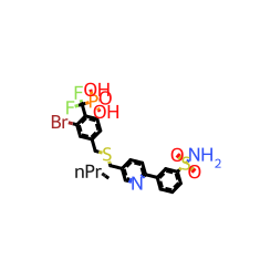 CCCC.NS(=O)(=O)c1cccc(-c2ccc(CSCc3ccc(C(F)(F)P(=O)(O)O)c(Br)c3)cn2)c1